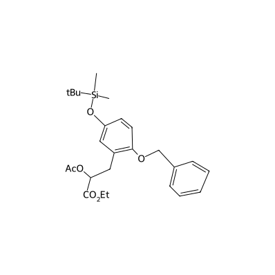 CCOC(=O)C(Cc1cc(O[Si](C)(C)C(C)(C)C)ccc1OCc1ccccc1)OC(C)=O